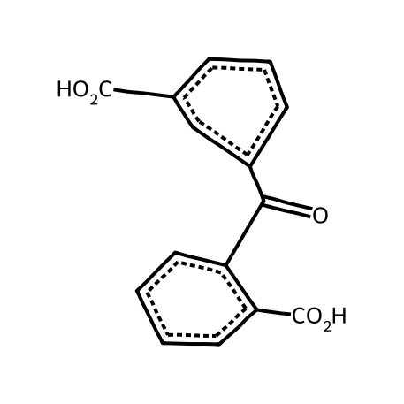 O=C(O)c1cccc(C(=O)c2ccccc2C(=O)O)c1